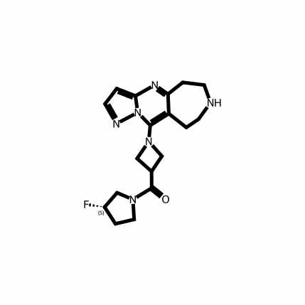 O=C(C1CN(c2c3c(nc4ccnn24)CCNCC3)C1)N1CC[C@H](F)C1